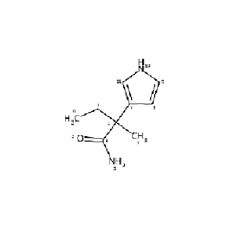 CCC(C)(C(N)=O)c1cc[nH]c1